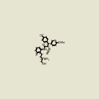 COc1ccc([C@H](c2ccc(Cl)cc2)[C@H](N=[N+]=[N-])C(=O)Nc2cccc(F)c2CC[C@H](N)CO)cn1